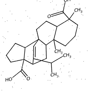 CC(C)C1=CC23CCC4C(C)(C(=O)O)CCCC4(C)C2CC1C1(C(=O)O)CCCC31